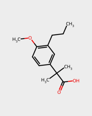 CCCc1cc(C(C)(C)C(=O)O)ccc1OC